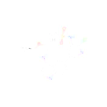 C[C@@H]1CN(c2ccnc3ccc(-c4cnc(Cl)c(NS(C)(=O)=O)c4)cc23)C[C@@H](C)O1